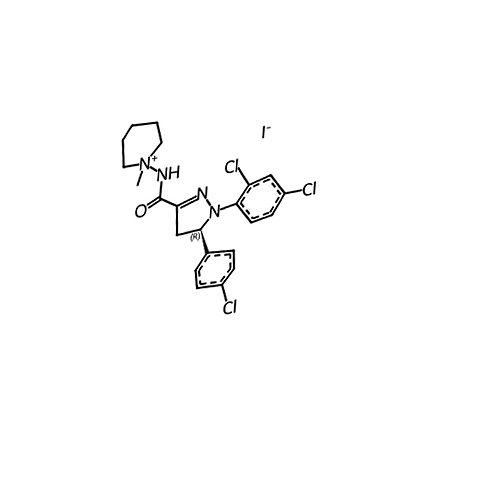 C[N+]1(NC(=O)C2=NN(c3ccc(Cl)cc3Cl)[C@@H](c3ccc(Cl)cc3)C2)CCCCC1.[I-]